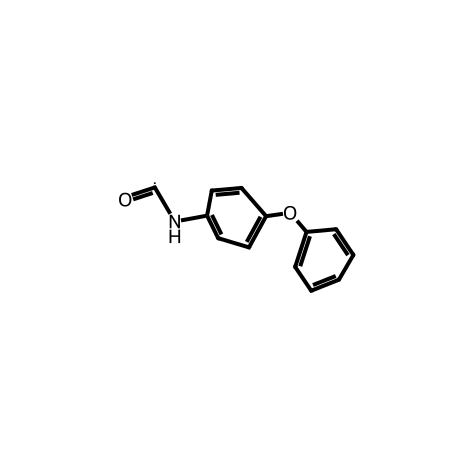 O=[C]Nc1ccc(Oc2ccccc2)cc1